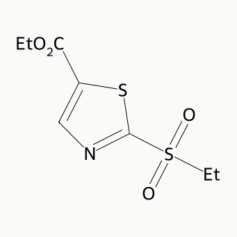 CCOC(=O)c1cnc(S(=O)(=O)CC)s1